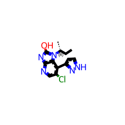 CC[C@@H](C)n1c(O)nc2ncc(Cl)c(-c3cc[nH]n3)c21